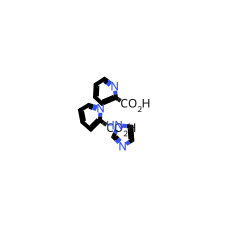 O=C(O)c1ccccn1.O=C(O)c1ccccn1.c1c[nH]cn1